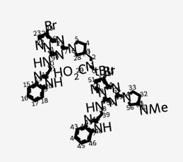 CC(C)(C)N(C[C@@H]1CCN(c2nc(NCc3nc4ccccc4[nH]3)n3ncc(Br)c3n2)C1)C(=O)O.CN[C@@H]1CCN(c2nc(NCc3nc4ccccc4[nH]3)n3ncc(Br)c3n2)C1